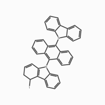 IC1CC=Cc2c1c1ccccc1n2-c1c2ccccc2c(-n2c3ccccc3c3ccccc32)c2ccccc12